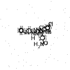 NC(=O)C1CCC(n2c(Nc3c(F)cc(Cl)cc3Cl)nc3cnc(NC4CCCN(Cc5ccccc5)C4)nc32)CC1